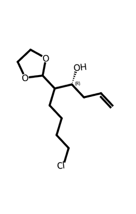 C=CC[C@@H](O)C(CCCCCl)C1OCCO1